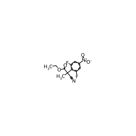 CCOC(=O)C(C)(C#N)c1c(F)cc([N+](=O)[O-])cc1F